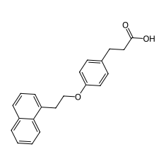 O=C(O)CCc1ccc(OCCc2cccc3ccccc23)cc1